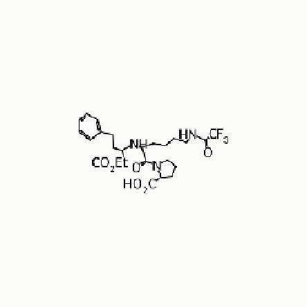 CCOC(=O)C(CCc1ccccc1)N[C@@H](CCCCNC(=O)C(F)(F)F)C(=O)N1CCC[C@H]1C(=O)O